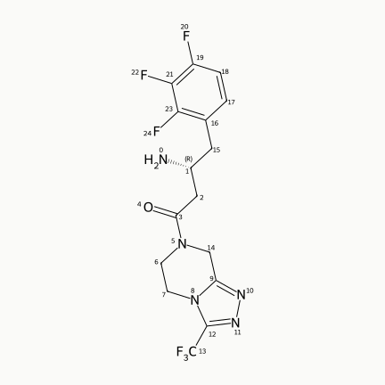 N[C@@H](CC(=O)N1CCn2c(nnc2C(F)(F)F)C1)Cc1ccc(F)c(F)c1F